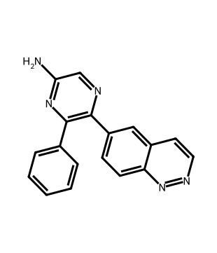 Nc1cnc(-c2ccc3nnccc3c2)c(-c2ccccc2)n1